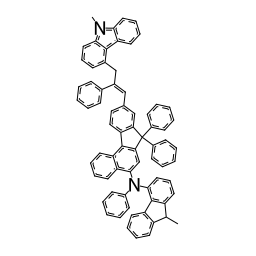 CC1c2ccccc2-c2c1cccc2N(c1ccccc1)c1cc2c(c3ccccc13)-c1ccc(/C=C(/Cc3cccc4c3c3ccccc3n4C)c3ccccc3)cc1C2(c1ccccc1)c1ccccc1